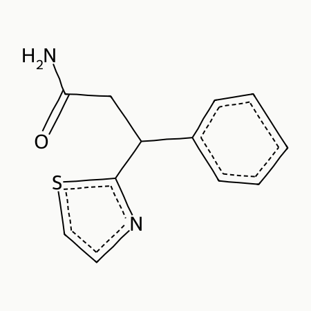 NC(=O)CC(c1ccccc1)c1nccs1